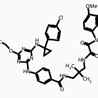 COc1ccc(NC(=O)C(=O)NCC(C)(C)CNC(=O)c2ccc(Nc3nc(NC4(c5ccc(Cl)cc5)CC4)nc(OCC(F)(F)F)n3)cc2)cc1